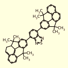 CC1(C)c2cc(-c3ccc(-c4cc5c6c(c4)C(C)(C)C4CC=c7cccc(c7=C64)C5(C)C)c4nsnc34)cc3c2-c2c1ccc1cccc(c21)C3(C)C